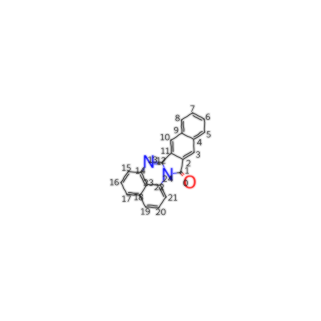 O=C1c2cc3ccccc3cc2C2=Nc3cccc4cccc(c34)N12